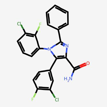 NC(=O)c1nc(-c2ccccc2)n(-c2cccc(Cl)c2F)c1-c1ccc(F)c(Cl)c1